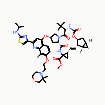 C=C[C@@H]1CC1(NC(=O)[C@@H]1C[C@@H](Oc2cc(-c3csc(NC(C)C)n3)nc3c(Cl)c(OCCN4CCOCC4(C)C)ccc23)CN1C(=O)[C@@H](NC(=O)O[C@@H]1C[C@@H]2C[C@@H]2C1)C(C)(C)C)C(=O)OC